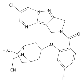 CC1CC2CC(Oc3cc(F)ccc3C(=O)N3Cc4nn5cc(Cl)cnc5c4C3)CC1N2CC#N